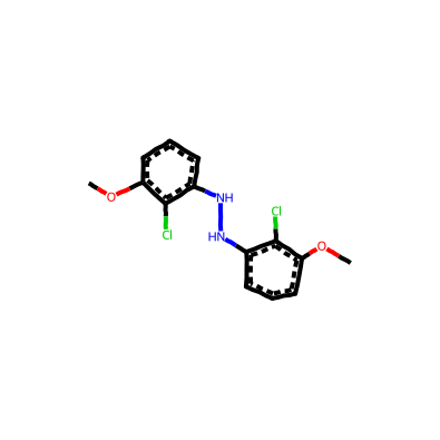 COc1cccc(NNc2cccc(OC)c2Cl)c1Cl